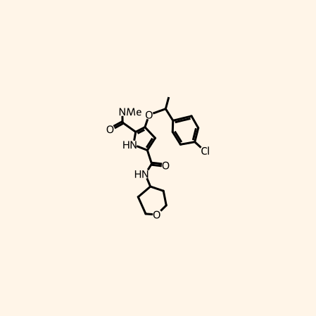 CNC(=O)c1[nH]c(C(=O)NC2CCOCC2)cc1OC(C)c1ccc(Cl)cc1